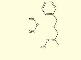 CC(C)(C)OC=O.CC(CCCc1ccccc1)=NN